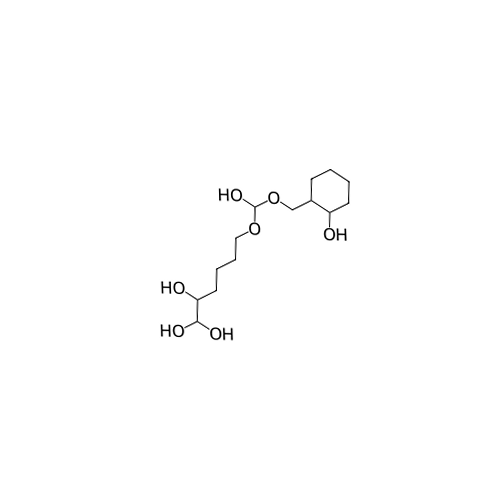 OC(OCCCCC(O)C(O)O)OCC1CCCCC1O